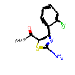 COC(=O)c1sc(N)nc1-c1ccccc1Cl